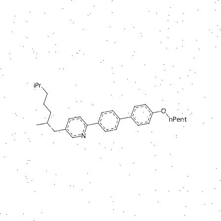 CCCCCOc1ccc(-c2ccc(-c3ccc(CC(C)CCCC(C)C)cn3)cc2)cc1